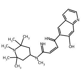 CN(C(=N)/C=C\C(=N)c1cc2cccnc2cc1O)C1CC(C)(C)N(C)C(C)(C)C1